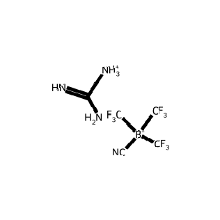 N#C[B-](C(F)(F)F)(C(F)(F)F)C(F)(F)F.N=C(N)[NH3+]